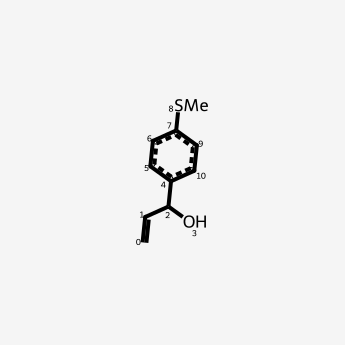 C=CC(O)c1ccc(SC)cc1